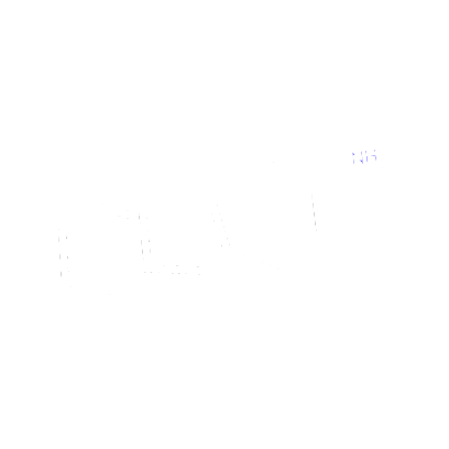 NC1=Cc2cc3ccccc3cc2CC1